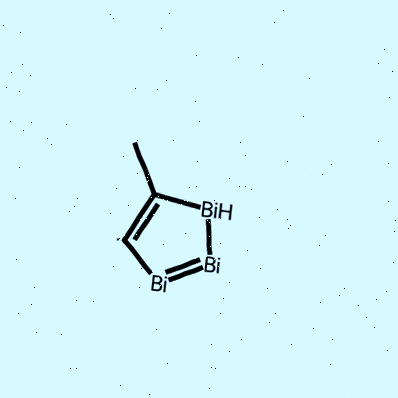 C[C]1=[C][Bi]=[Bi][BiH]1